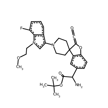 COCCn1cc(N2CCC3(CC2)C(=C=O)Oc2ccc(C(N)C(=O)OC(C)(C)C)cc23)c2cccc(F)c21